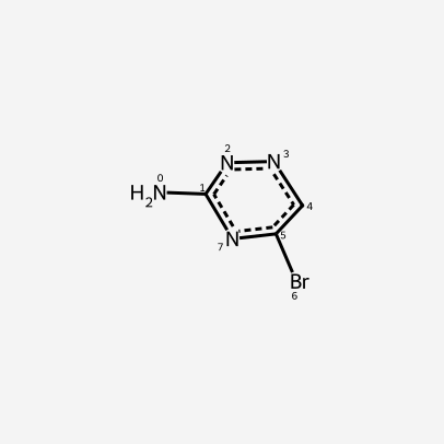 Nc1nncc(Br)n1